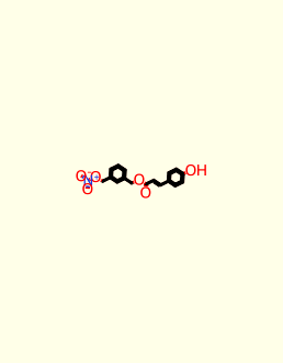 O=C(/C=C/c1ccc(O)cc1)OCc1cccc(CO[N+](=O)[O-])c1